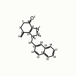 C=C1CCC(=O)c2nnn(Cc3ccc4ccccc4c3)c21